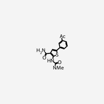 CNC(=O)Nc1sc(-c2cccc(C(C)=O)c2)cc1C(N)=O